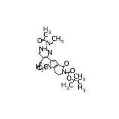 C#Cc1cnc(N(CC)C(C)=O)nc1-c1cc2c(n1C)CCN(C(=O)OC(C)(C)C)C2=O